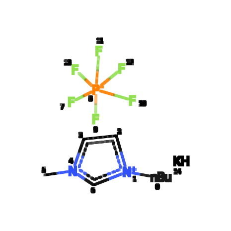 CCCC[n+]1ccn(C)c1.F[P-](F)(F)(F)(F)F.[KH]